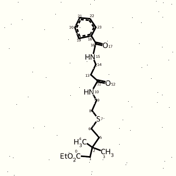 CCOC(=O)CC(C)(C)CCSCCNC(=O)CCNC(=O)c1ccccc1